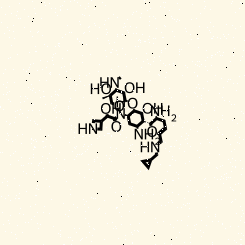 CN[C@@H]1[C@@H](O)[C@@H](O[C@H]2[C@H](NC(=O)C(O)C3CNC3)C[C@H](N)C([C@H]3OC(CNCC4CC4)=CC[C@H]3N)[C@@H]2O)OC[C@]1(C)O